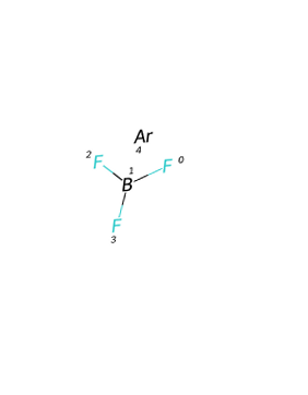 FB(F)F.[Ar]